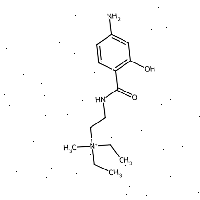 CC[N+](C)(CC)CCNC(=O)c1ccc(N)cc1O